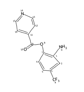 Nc1cc(C(F)(F)F)ccc1OC(=O)c1ccncc1